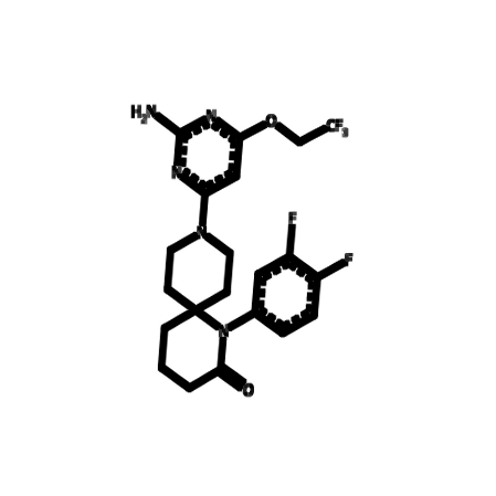 Nc1nc(OCC(F)(F)F)cc(N2CCC3(CCCC(=O)N3c3ccc(F)c(F)c3)CC2)n1